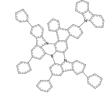 c1ccc(-c2ccc3c(c2)c2cc(-c4ccccc4)cc4c2n3-c2cc3c5ccc(-n6c7ccccc7c7ccccc76)cc5c5ccccc5c3c3c2B4c2cc(-c4ccccc4)cc4c5cc(-c6ccccc6)ccc5n-3c24)cc1